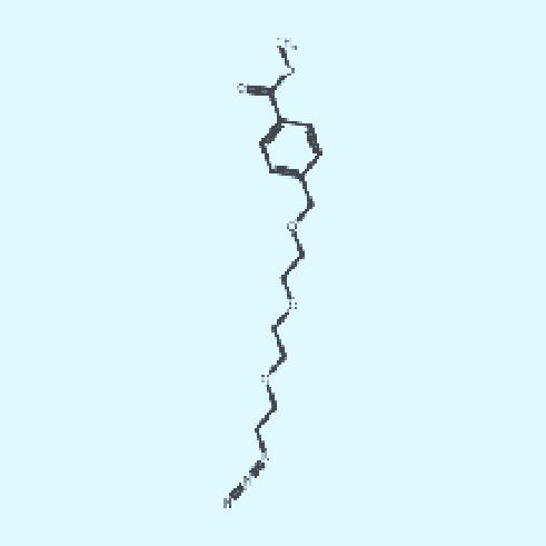 COC(=O)c1ccc(COCCOCCOCCN=[N+]=[N-])cc1